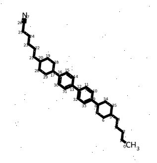 CCCCCC1CCC(c2ccc(-c3ccc(C4CCC(CCCCCC#N)CC4)cc3)cc2)CC1